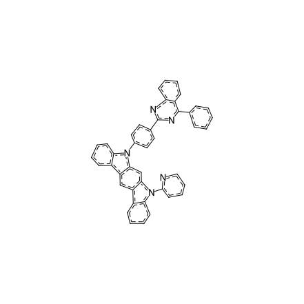 c1ccc(-c2nc(-c3ccc(-n4c5ccccc5c5cc6c7ccccc7n(-c7ccccn7)c6cc54)cc3)nc3ccccc23)cc1